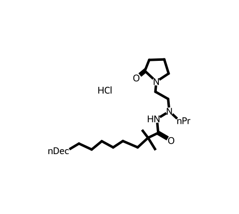 CCCCCCCCCCCCCCCCC(C)(C)C(=O)NN(CCC)CCN1CCCC1=O.Cl